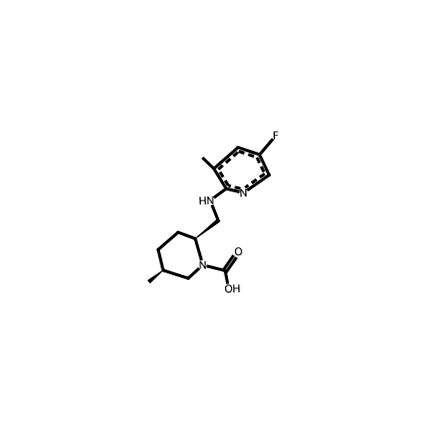 Cc1cc(F)cnc1NC[C@@H]1CC[C@H](C)CN1C(=O)O